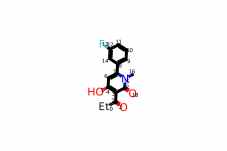 CCC(=O)c1c(O)cc(-c2cccc(F)c2)n(C)c1=O